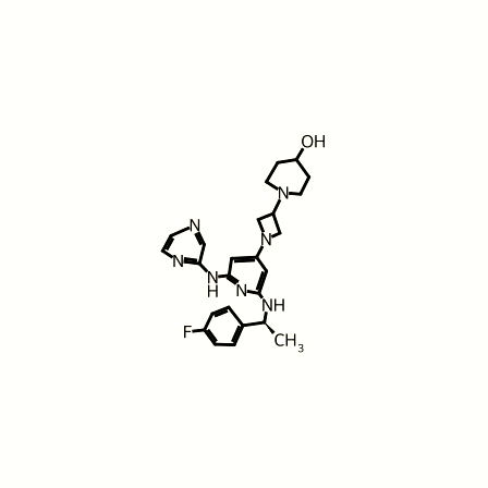 C[C@H](Nc1cc(N2CC(N3CCC(O)CC3)C2)cc(Nc2cnccn2)n1)c1ccc(F)cc1